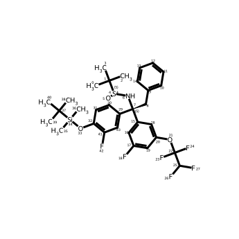 CC(C)(C)[S@@+]([O-])N[C@](Cc1ccccc1)(c1cc(F)cc(OC(F)(F)C(F)F)c1)c1ccc(O[Si](C)(C)C(C)(C)C)c(F)c1